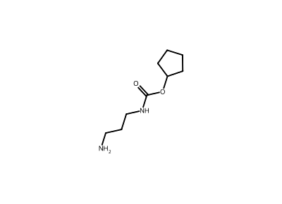 NCCCNC(=O)OC1CCCC1